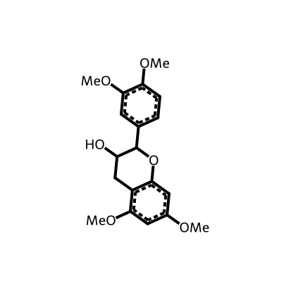 COc1cc(OC)c2c(c1)OC(c1ccc(OC)c(OC)c1)C(O)C2